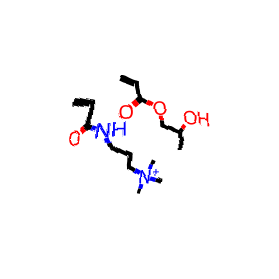 C=CC(=O)NCCC[N+](C)(C)C.C=CC(=O)OCC(C)O